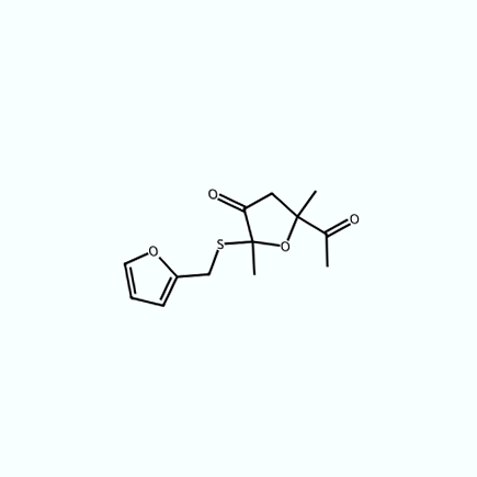 CC(=O)C1(C)CC(=O)C(C)(SCc2ccco2)O1